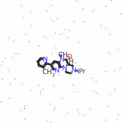 Cc1cccnc1-c1cnc2c(c1)N(C)C(=O)[C@@H]1CN(C(C)C)CCN21